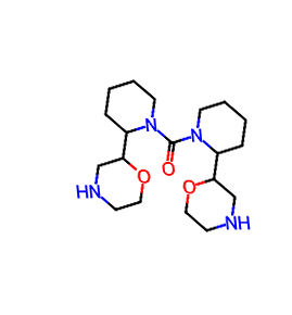 O=C(N1CCCCC1C1CNCCO1)N1CCCCC1C1CNCCO1